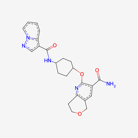 NC(=O)c1cc2c(nc1OC1CCC(NC(=O)c3cnn4ccccc34)CC1)CCOC2